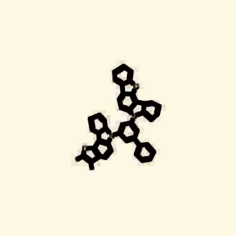 Cc1oc2c3c(ccc2c1C)N(c1cc(-c2ccccc2)cc(-n2c4ccccc4c4c5oc6ccccc6c5ccc42)c1)C1C=CC=CC31